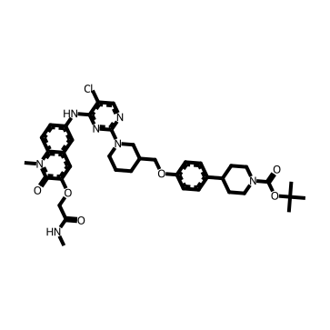 CNC(=O)COc1cc2cc(Nc3nc(N4CCCC(COc5ccc(C6CCN(C(=O)OC(C)(C)C)CC6)cc5)C4)ncc3Cl)ccc2n(C)c1=O